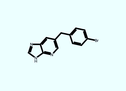 Brc1ccc(Cc2cnc3[nH][c]nc3c2)cc1